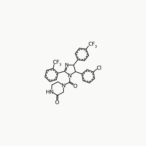 O=C1CN(C(=O)N2C(c3ccccc3C(F)(F)F)=NC(c3ccc(C(F)(F)F)cc3)C2c2cccc(Cl)c2)CCN1